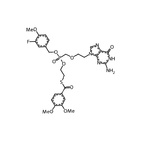 COc1ccc(COP(=O)(COCCn2cnc3c(=O)[nH]c(N)nc32)OCCSC(=O)c2ccc(OC)c(OC)c2)cc1F